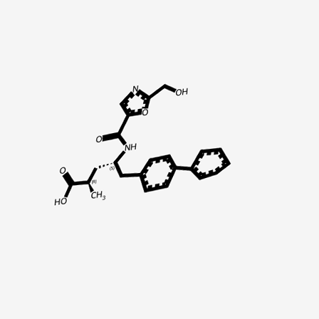 C[C@H](C[C@@H](Cc1ccc(-c2ccccc2)cc1)NC(=O)c1cnc(CO)o1)C(=O)O